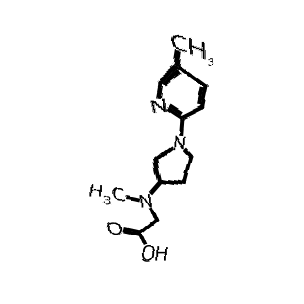 Cc1ccc(N2CCC(N(C)CC(=O)O)C2)nc1